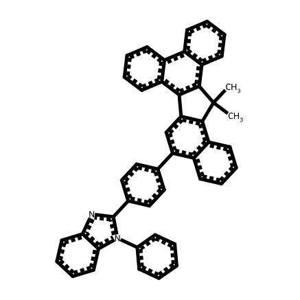 CC1(C)c2c(cc(-c3ccc(-c4nc5ccccc5n4-c4ccccc4)cc3)c3ccccc23)-c2c1c1ccccc1c1ccccc21